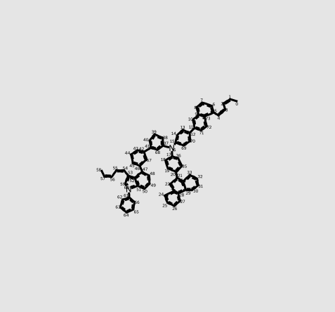 C/C=C\C=C/c1cccc2cc(-c3ccc(N(c4ccc(-c5cc6ccccc6c6ccccc56)cc4)c4cccc(-c5cccc(-c6cccc7c6c(/C=C\C=C/C)cn7-c6ccccc6)c5)c4)cc3)ccc12